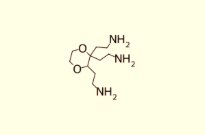 NCCC1OCCOC1(CCN)CCN